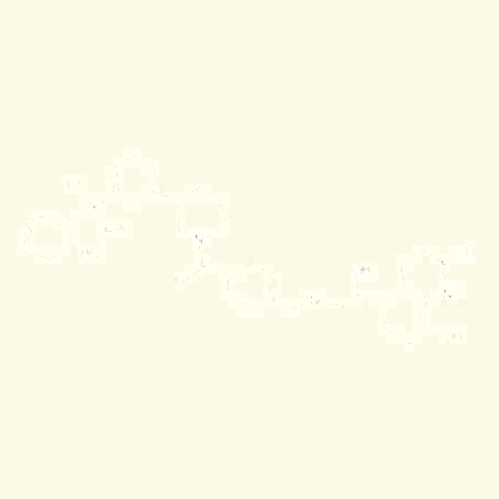 O=C(c1ccc(CNCC(O)c2ccc(O)c3[nH]c(=O)ccc23)cc1)N1CCC=C(c2cccc(C(O)(C(=O)O)c3ccccc3)c2)C1